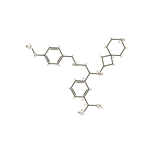 COc1ccc(CNCC(NC2CC3(CCNCC3)C2)c2cccc(C(C)C)c2)cc1